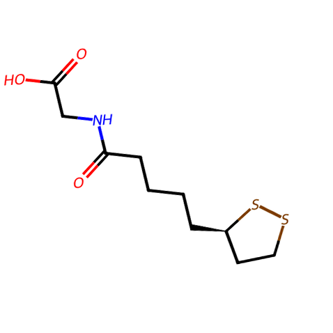 O=C(O)CNC(=O)CCCC[C@@H]1CCSS1